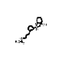 O=C(NCC=Cc1cccc(S(=O)(=O)CC2(O)CCCCC2)c1)C(F)(F)F